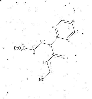 CCOC(=O)NCC(C(=O)NCC#N)c1ccccc1